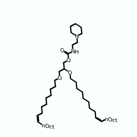 CCCCCCCC/C=C\CCCCCCCCOCC(COC(=O)NCCN1CCCCC1)OCCCCCCCC/C=C\CCCCCCCC